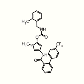 Cc1ccccc1CNC(=O)Oc1cc(NC(=O)c2ccccc2-c2ccc(C(F)(F)F)cc2)cn1C